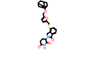 O=C1CCC(N2Cc3c(SCc4ccc(COC5C6CC7CC(C6)CC5C7)o4)cccc3C2=O)C(=O)N1